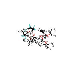 C=C[SiH](O[SiH](C)O[Si](C)(C)C)O[Si](C)(C)C.CC(F)C(F)(F)[SiH](O[SiH](O[Si](C)(C)C)C(F)(F)C(C)F)O[Si](C)(C)C